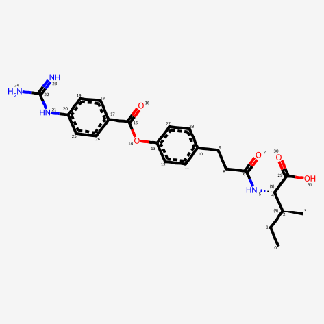 CC[C@H](C)[C@H](NC(=O)CCc1ccc(OC(=O)c2ccc(NC(=N)N)cc2)cc1)C(=O)O